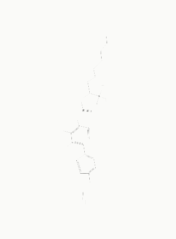 CCCCCCCC(OC(=O)Oc1ccc(-c2ccc(OCC)cc2)c(F)c1F)C(F)(F)F